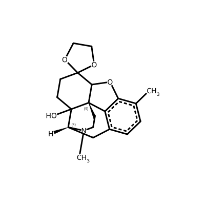 Cc1ccc2c3c1OC1C4(CCC5(O)[C@@H](C2)N(C)CC[C@]315)OCCO4